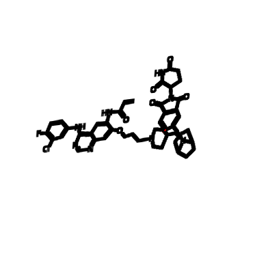 C=CC(=O)Nc1cc2c(Nc3ccc(F)c(Cl)c3)ncnc2cc1OCCCN1CCC(CN2C3CCC2CN(c2ccc4c(c2)C(=O)N(C2CCC(=O)NC2=O)C4=O)C3)CC1